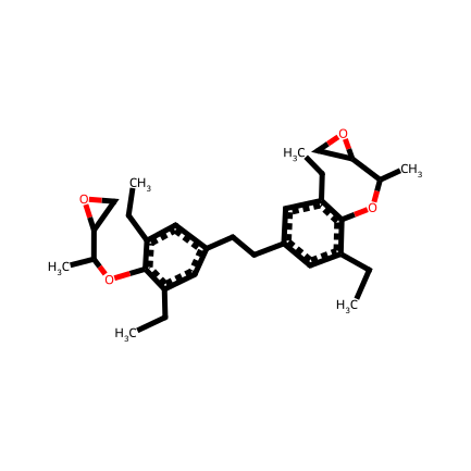 CCc1cc(CCc2cc(CC)c(OC(C)C3CO3)c(CC)c2)cc(CC)c1OC(C)C1CO1